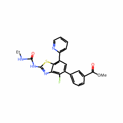 CCNC(=O)Nc1nc2c(F)c(-c3cccc(C(=O)OC)c3)cc(-c3ccccn3)c2s1